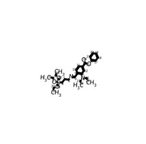 CCO[Si](CCCN=Cc1ccc(C(=O)Oc2ccccc2)cc1N(CC)CC)(OCC)OCC